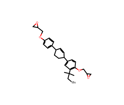 CC(C)(C)CC(C)(C)c1cc(C2C=CC(c3ccc(OCC4CO4)cc3)CC2)ccc1OCC1CO1